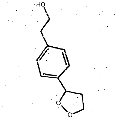 OCCc1ccc(C2CCOO2)cc1